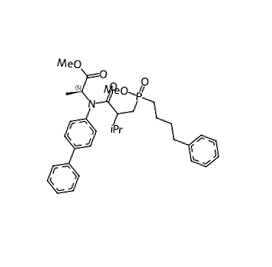 COC(=O)[C@H](C)N(C(=O)C(CP(=O)(CCCCc1ccccc1)OC)C(C)C)c1ccc(-c2ccccc2)cc1